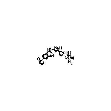 CC1(NC(=O)O[C@@H]2CCC(c3cc(NC(=O)Cc4ccc(N5CCCC5=O)cc4C#N)n[nH]3)C2)CC1